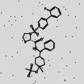 C[N+]1(OS(C)(=O)=O)CCC(C(NC(=O)[C@@H]2SCCN2S(=O)(=O)c2ccc(-c3ccccc3F)cc2)c2ccccc2)CC1